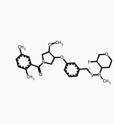 COC1CN(C(=O)c2cc(C)ccc2C)CC1Oc1cccc(CSN(C)C2CCOCC2F)c1